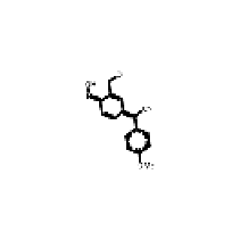 COc1ccc(/C(C#N)=C2C=C/C(=N/O)C(CO)=C\2)cc1